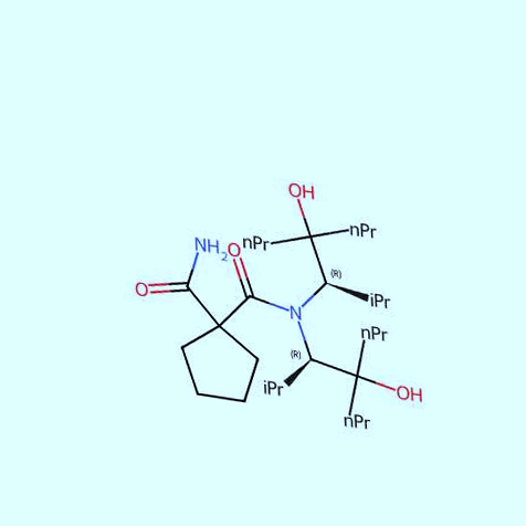 CCCC(O)(CCC)[C@@H](C(C)C)N(C(=O)C1(C(N)=O)CCCC1)[C@H](C(C)C)C(O)(CCC)CCC